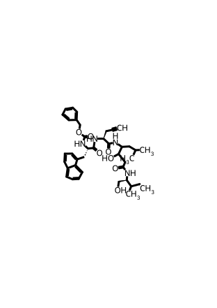 C#CC[C@H](NC(=O)[C@H](Cc1cccc2ccccc12)NC(=O)OCc1ccccc1)C(=O)NC(CC(C)C)C(O)CC(=O)N[C@H](CO)C(C)CC